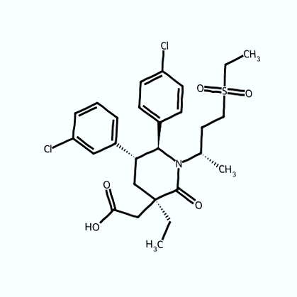 CC[C@]1(CC(=O)O)C[C@H](c2cccc(Cl)c2)[C@@H](c2ccc(Cl)cc2)N([C@@H](C)CCS(=O)(=O)CC)C1=O